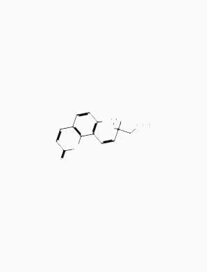 COc1ccc2ccc(=O)oc2c1/C=C\C(C)(O)CO